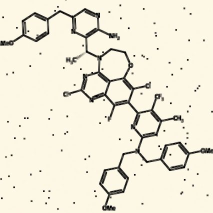 COc1ccc(Cc2cnc(N)c([C@@H](C)N3CCOc4c(Cl)c(-c5nc(N(Cc6ccc(OC)cc6)Cc6ccc(OC)cc6)cc(C)c5C(F)(F)F)c(F)c5nc(Cl)nc3c45)n2)cc1